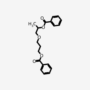 CC(COCCCOC(=O)c1ccccc1)OC(=O)c1ccccc1